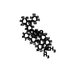 CC1(C)c2ccccc2-c2ccc(N(c3cccc4c3-c3ccccc3C4(C)C)c3cccc4oc5cc(-c6ccc7c8ccccc8n(-c8ccccc8)c7c6)ccc5c34)cc21